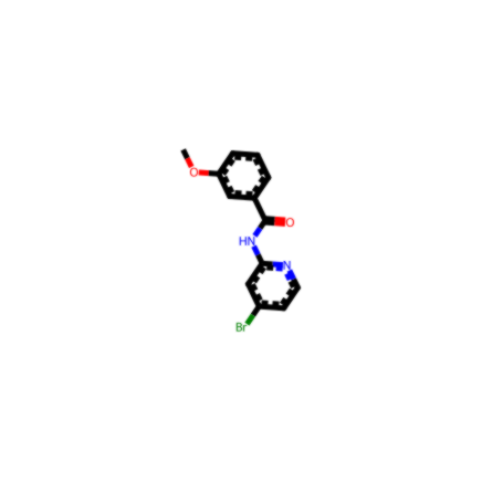 COc1cccc(C(=O)Nc2cc(Br)ccn2)c1